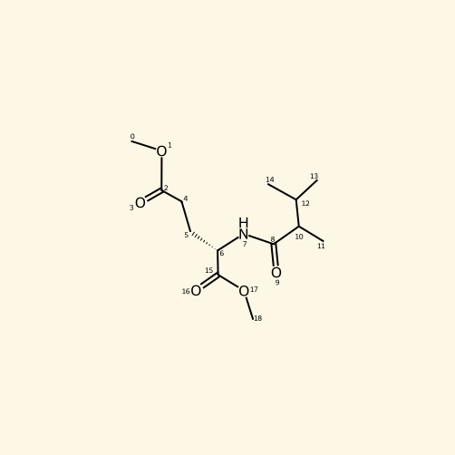 COC(=O)CC[C@H](NC(=O)C(C)C(C)C)C(=O)OC